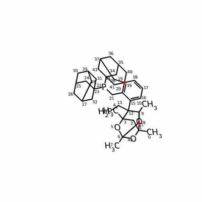 CC12CC3(C)OC(C)(CC(C)(O1)C3(CP)c1ccccc1CP(C13CC4CC(CC(C4)C1)C3)C13CC4CC(CC(C4)C1)C3)O2